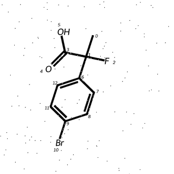 CC(F)(C(=O)O)c1ccc(Br)cc1